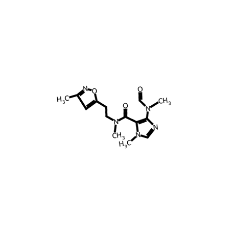 Cc1cc(CCN(C)C(=O)c2c(N(C)C=O)ncn2C)on1